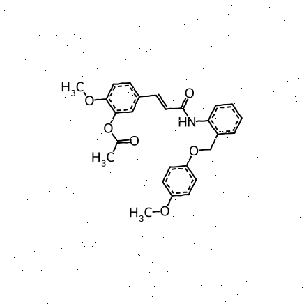 COc1ccc(OCc2ccccc2NC(=O)C=Cc2ccc(OC)c(OC(C)=O)c2)cc1